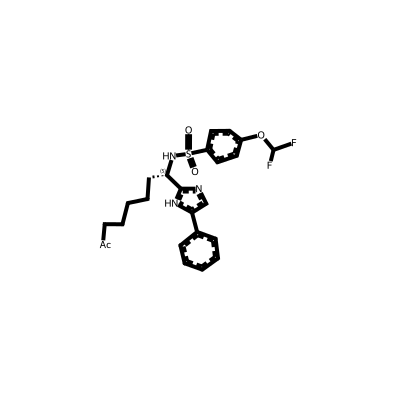 CC(=O)CCCCC[C@H](NS(=O)(=O)c1ccc(OC(F)F)cc1)c1ncc(-c2ccccc2)[nH]1